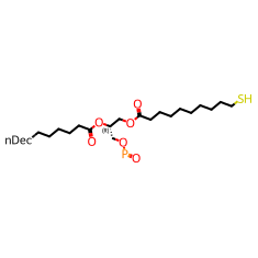 CCCCCCCCCCCCCCCC(=O)O[C@@H](COP=O)COC(=O)CCCCCCCCCS